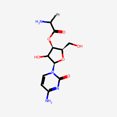 CC(C)C(N)C(=O)O[C@@H]1C(O)[C@H](n2ccc(N)nc2=O)O[C@@H]1CO